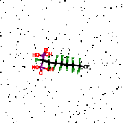 O=P(O)(O)C(F)(C(F)(F)C(F)(F)C(F)(F)C(F)(F)C(F)(F)C(F)(F)C(F)(F)F)P(=O)(O)O